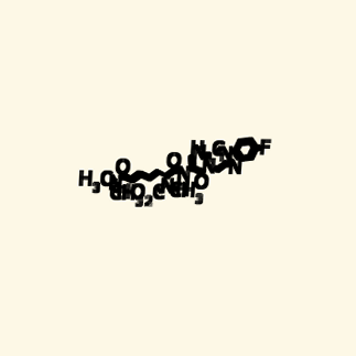 CN(C)C(=O)/C=C/CC[C@@H](C(=O)Nc1cncn(Cc2nc3cc(F)ccc3n2C)c1=O)N(C)C(=O)O